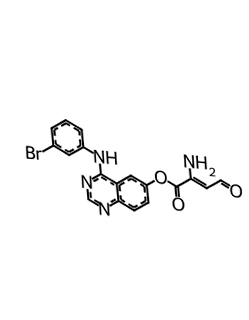 NC(=CC=O)C(=O)Oc1ccc2ncnc(Nc3cccc(Br)c3)c2c1